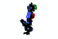 O=C(NCc1ncn2ccc(Cl)c(F)c12)c1cn(Cc2cn3cc(C4CC4)cc(-n4cccn4)c3n2)nn1